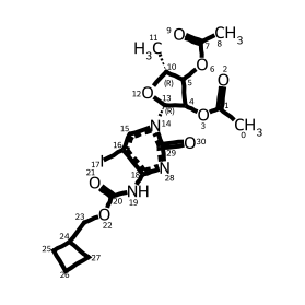 CC(=O)OC1C(OC(C)=O)[C@@H](C)O[C@H]1n1cc(I)c(NC(=O)OCC2CCC2)nc1=O